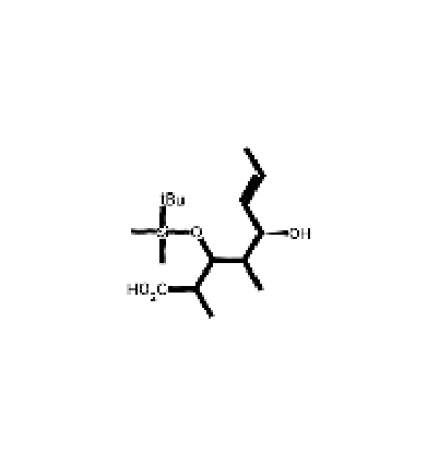 C/C=C/[C@@H](O)C(C)C(O[Si](C)(C)C(C)(C)C)C(C)C(=O)O